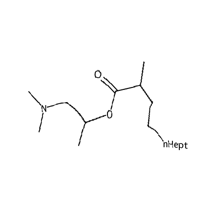 CCCCCCCCCC(C)C(=O)OC(C)CN(C)C